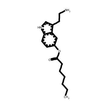 CCCCCCC(=O)Oc1ccc2[nH]cc(CCN)c2c1